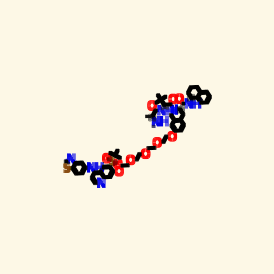 CN[C@@H](C)C(=O)N[C@H](C(=O)N1Cc2cc(OCCOCCOCCOCCOc3cc4nccc(Nc5ccc6scnc6c5)c4cc3S(=O)(=O)C(C)(C)C)ccc2C[C@H]1C(=O)N[C@H]1CCCc2ccccc21)C(C)(C)C